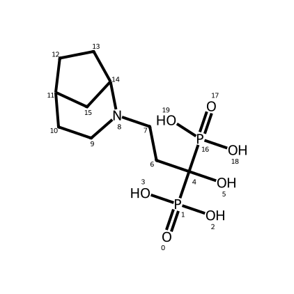 O=P(O)(O)C(O)(CCN1CCC2CCC1C2)P(=O)(O)O